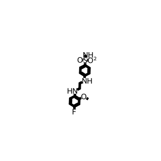 COc1cc(F)ccc1NCCNc1ccc(S(N)(=O)=O)cc1